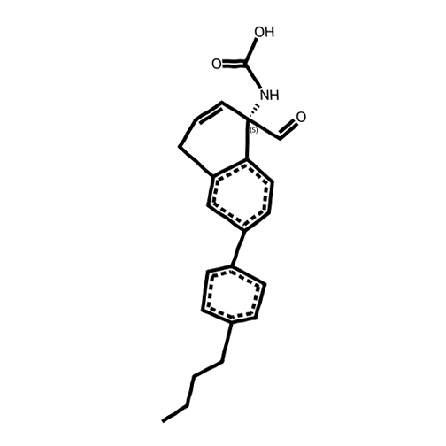 CCCCc1ccc(-c2ccc3c(c2)CC=C[C@]3(C=O)NC(=O)O)cc1